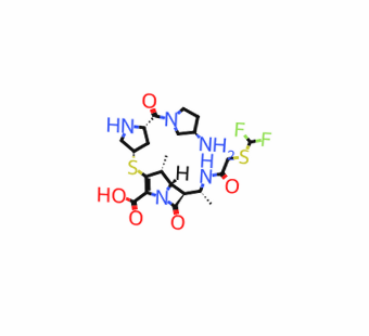 C[C@@H](NC(=O)CSC(F)F)[C@H]1C(=O)N2C(C(=O)O)=C(S[C@@H]3CN[C@H](C(=O)N4CC[C@@H](N)C4)C3)[C@H](C)[C@H]12